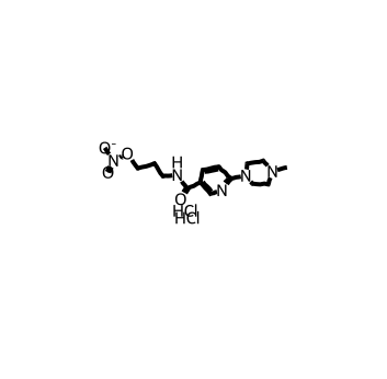 CN1CCN(c2ccc(C(=O)NCCCO[N+](=O)[O-])cn2)CC1.Cl.Cl